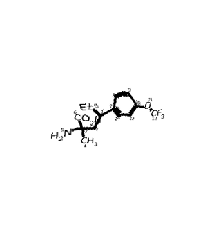 CCC(CC(C)(N)C(=O)O)c1ccc(OC(F)(F)F)cc1